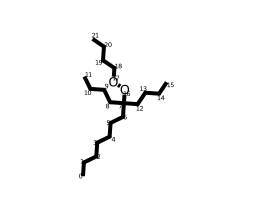 CCCCCCCC(CCCC)(CCCC)OOCCCC